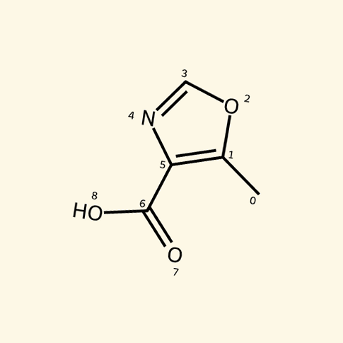 Cc1ocnc1C(=O)O